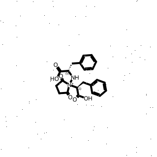 O=C(O)[C@H](Cc1ccccc1)N[N+]1([C@@H](Cc2ccccc2)C(=O)O)C(=O)CCC1=O